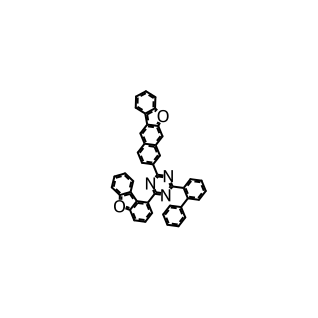 c1ccc(-c2ccccc2-c2nc(-c3ccc4cc5c(cc4c3)oc3ccccc35)nc(-c3cccc4oc5ccccc5c34)n2)cc1